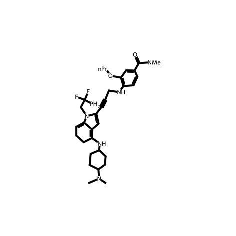 CCCOc1cc(C(=O)NC)ccc1NCC#Cc1cc2c(n1CC(F)(F)P)=CCCC=2NC1CCC(N(C)C)CC1